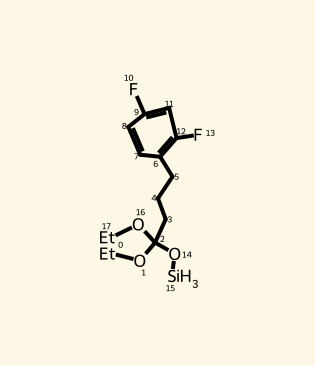 CCOC(CCCc1ccc(F)cc1F)(O[SiH3])OCC